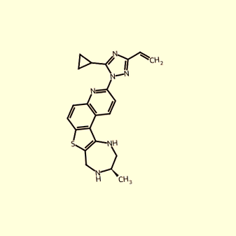 C=Cc1nc(C2CC2)n(-c2ccc3c(ccc4sc5c(c43)NC[C@@H](C)NC5)n2)n1